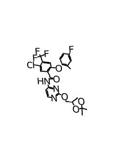 Cc1cc(F)ccc1Oc1cc(C(F)(F)F)c(Cl)cc1C(=O)Nc1ccnc(OC[C@H]2COC(C)(C)O2)n1